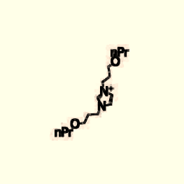 CCCOCCCn1cc[n+](CCCOCCC)c1